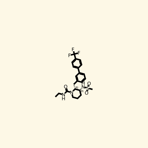 CCNC(=O)N1CCC[C@@H](NS(C)(=O)=O)[C@H]1Cc1cccc(-c2ccc(C(F)(F)F)cc2)c1